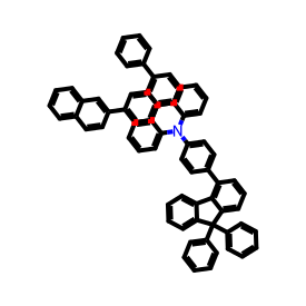 c1ccc(-c2cccc(-c3ccccc3N(c3ccc(-c4cccc5c4-c4ccccc4C5(c4ccccc4)c4ccccc4)cc3)c3ccccc3-c3ccc(-c4ccc5ccccc5c4)cc3)c2)cc1